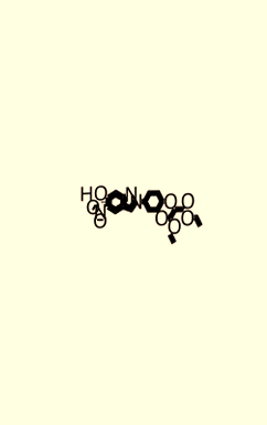 CCOC(=O)C(OC1CCC(n2cc3cc([N+](=O)[O-])c(O)cc3n2)CC1)C(=O)OCC